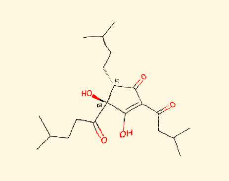 CC(C)CCC(=O)[C@@]1(O)C(O)=C(C(=O)CC(C)C)C(=O)[C@H]1CCC(C)C